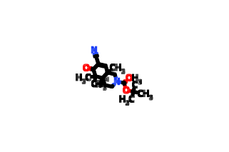 CC(C)(C)OC(=O)N1CC[C@@H]2C(C)(C)C(=O)C(C#N)=C[C@@]2(C)C1